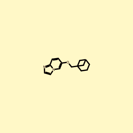 c1cn2cc(OCC34CCCC(C3)C4)ccc2n1